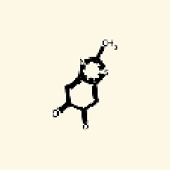 Cc1nc2c(s1)=CC(=O)C(=O)C=2